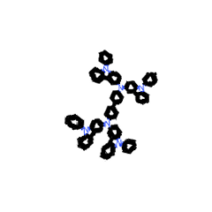 c1ccc(-n2c3ccccc3c3cc(N(c4ccc(-c5ccc(N(c6ccc7c(c6)c6ccccc6n7-c6ccccc6)c6ccc7c(c6)c6ccccc6n7-c6ccccc6)cc5)cc4)c4ccc5c(c4)c4ccccc4n5-c4ccccc4)ccc32)cc1